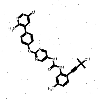 CC(C)(O)C#Cc1ccc(C(F)(F)F)cc1NC(=O)Nc1cnc(Oc2ccc(-c3cc(Cl)cnc3N)cc2)nc1